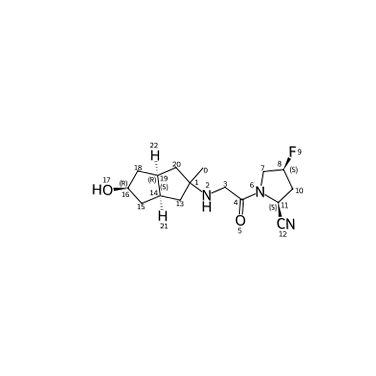 CC1(NCC(=O)N2C[C@@H](F)C[C@H]2C#N)C[C@H]2C[C@@H](O)C[C@H]2C1